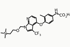 Cc1cc(NC(=O)O)ccc1Oc1ccnc2c1c(C(F)(F)F)cn2COCC[Si](C)(C)C